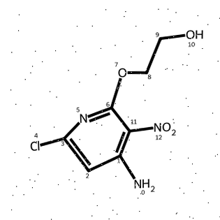 Nc1cc(Cl)nc(OCCO)c1[N+](=O)[O-]